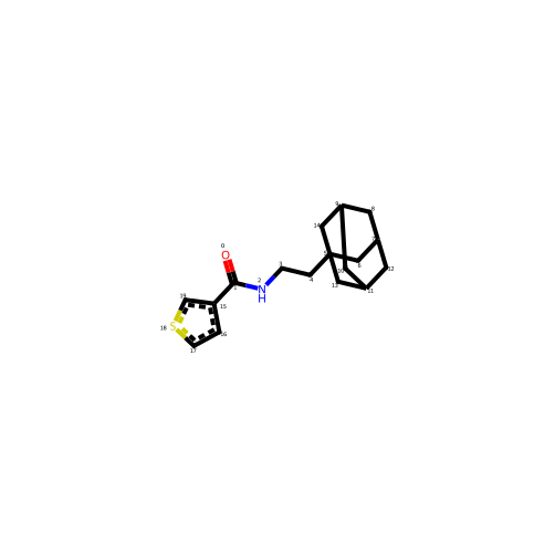 O=C(NCCC12CC3CC(CC(C3)C1)C2)c1ccsc1